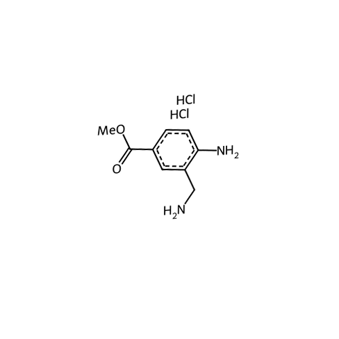 COC(=O)c1ccc(N)c(CN)c1.Cl.Cl